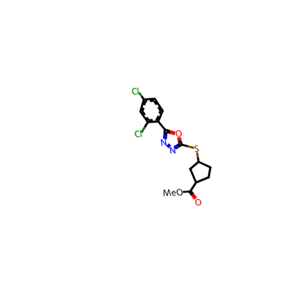 COC(=O)C1CCC(Sc2nnc(-c3ccc(Cl)cc3Cl)o2)C1